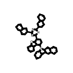 c1ccc2cc(-c3nc(-c4ccc5ccccc5c4)nc(-c4ccc(-n5c6ccccc6c6cc7ccccc7cc65)c5c4oc4ccccc45)n3)ccc2c1